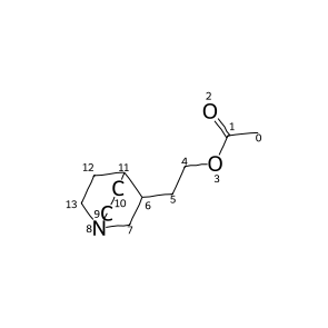 CC(=O)OCCC1CN2CCC1CC2